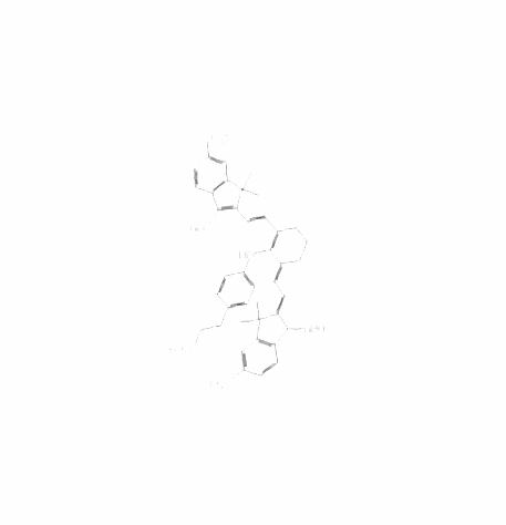 CCCCC1=C(/C=C/C2=C(Nc3ccc(CCC(=O)O)cc3)C(=C/C=C3/C(CCCC)c4ccc(S(=O)(=O)O)cc4C3(C)C)/CCC2)C(C)(C)c2cc(S(=O)(=O)O)ccc21